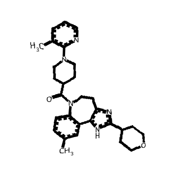 Cc1ccc2c(c1)-c1[nH]c(C3CCOCC3)nc1CCN2C(=O)C1CCN(c2ncccc2C)CC1